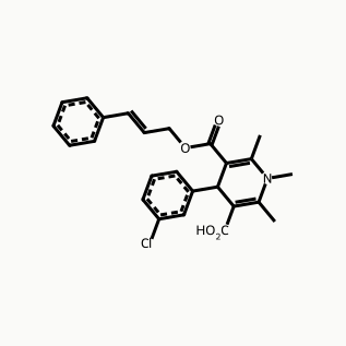 CC1=C(C(=O)O)C(c2cccc(Cl)c2)C(C(=O)OCC=Cc2ccccc2)=C(C)N1C